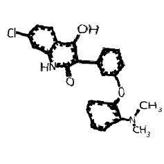 CN(C)c1ccccc1Oc1cccc(-c2c(O)c3ccc(Cl)cc3[nH]c2=O)c1